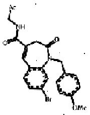 COc1ccc(CN2C(=O)CC(C(=O)NCC(C)=O)=Cc3ccc(Br)cc32)cc1